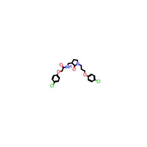 O=C(COc1ccc(Cl)cc1)NCC1CCN(CCCOc2ccc(Cl)cc2)C1=O